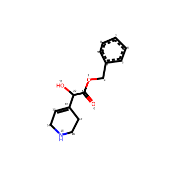 O=C(OCc1ccccc1)C(O)C1=CCNCC1